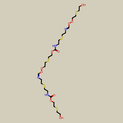 O=C(NCCSCC/N=C\OOCCSCCOC(=O)NCCSCC/N=C/OOCCSCCO)OCCSCCO